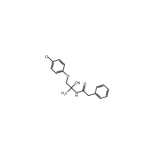 CC(C#N)(COc1ccc(Cl)cc1)NC(=O)Cc1ccccc1